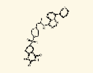 CC(CN1CCN(S(=O)(=O)c2ccc3[nH]c(=O)[nH]c(=O)c3c2)CC1)Nc1ncnc2c(-c3cccnc3)cccc12